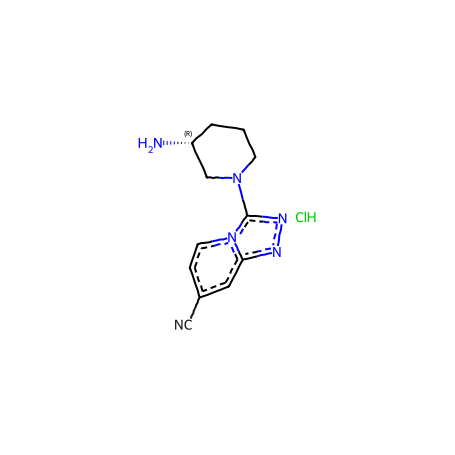 Cl.N#Cc1ccn2c(N3CCC[C@@H](N)C3)nnc2c1